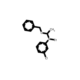 CCN(c1cccc(Cl)c1)C(C)OCc1ccccc1